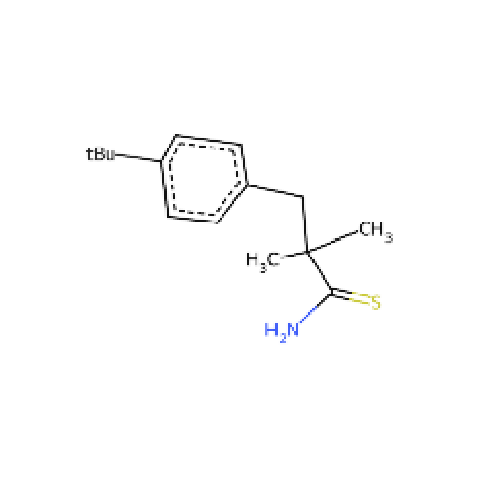 CC(C)(Cc1ccc(C(C)(C)C)cc1)C(N)=S